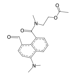 CC(=O)OCCN(C)C(=O)c1cccc2c(N(C)C)ccc(C=O)c12